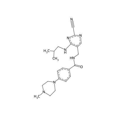 CC(C)CNc1nc(C#N)ncc1CNC(=O)c1ccc(N2CCN(C)CC2)cc1